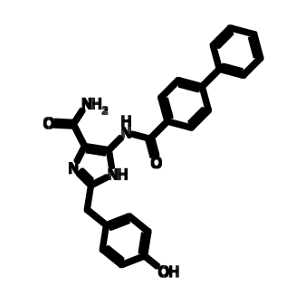 NC(=O)c1nc(Cc2ccc(O)cc2)[nH]c1NC(=O)c1ccc(-c2ccccc2)cc1